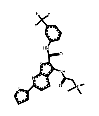 C[N+](C)(C)CC(=O)Nc1c(C(=O)Nc2cccc(C(F)(F)F)c2)sc2nc(-c3cccs3)ccc12